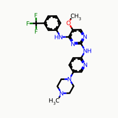 COc1cnc(Nc2ccc(N3CCN(C)CC3)cn2)nc1Nc1cccc(C(F)(F)F)c1